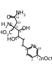 CCCCCCCCc1ccc(CCC(O)C(O)C(N)(CC(N)=O)C(=O)O)nc1